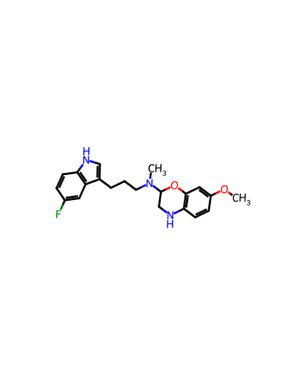 COc1ccc2c(c1)OC(N(C)CCCc1c[nH]c3ccc(F)cc13)CN2